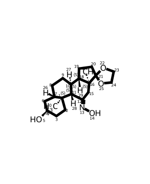 C[C@]12CC[C@@H](O)C[C@@H]1CC[C@@H]1[C@@H]2C(=NO)C[C@@]2(C)[C@H]1CCC21OCCO1